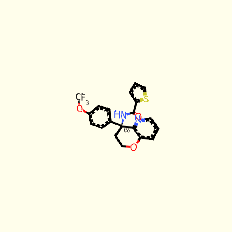 O=C(N[C@]1(c2ccc(OC(F)(F)F)cc2)CCOc2cccnc21)c1cccs1